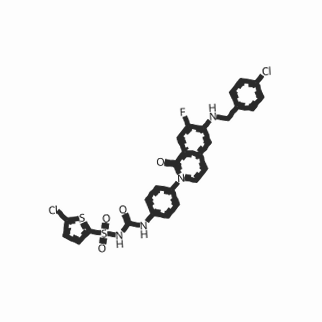 O=C(Nc1ccc(-n2ccc3cc(NCc4ccc(Cl)cc4)c(F)cc3c2=O)cc1)NS(=O)(=O)c1ccc(Cl)s1